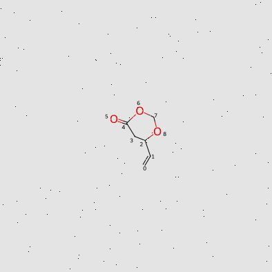 C=CC1CC(=O)OCO1